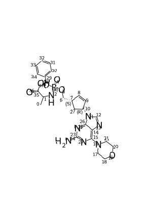 CC(N[P@@](=O)(OC[C@@H]1C=C[C@H](n2cnc3c(N4CCOCC4)nc(N)nc32)C1)Oc1ccccc1)C(=O)O